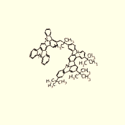 CC(C)(C)c1ccc2c(c1)c1cc(C(C)(C)C)cc3c4c5c6cc(C(C)(C)C)ccc6n6c7ccc(C(C)(C)Cc8ccc9c%10c%11c%12ccccc%12n%12c%13ccccc%13c(cc%10n%10c%13ccccc%13c8c9%10)c%11%12)cc7c(cc4n2c13)c56